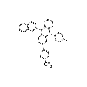 Cc1ccc(-c2c3ccccc3c(-c3ccc4ccccc4c3)c3ccc(-c4ccc(C(F)(F)F)cc4)cc23)cc1